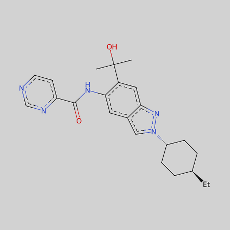 CC[C@H]1CC[C@H](n2cc3cc(NC(=O)c4ccncn4)c(C(C)(C)O)cc3n2)CC1